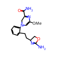 COC1=CN(c2ccccc2CCC2COC(N)=N2)CC(C(N)=O)=N1